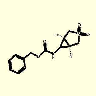 O=C(NC1[C@H]2CS(=O)(=O)C[C@@H]12)OCc1ccccc1